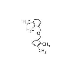 Cc1cccc(COCc2cccc(C)c2C)c1C